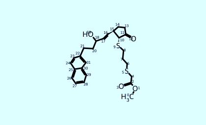 COC(=O)CSCCCS[C@H]1C(=O)CC[C@@H]1/C=C/C(O)CCc1ccc2ccccc2c1